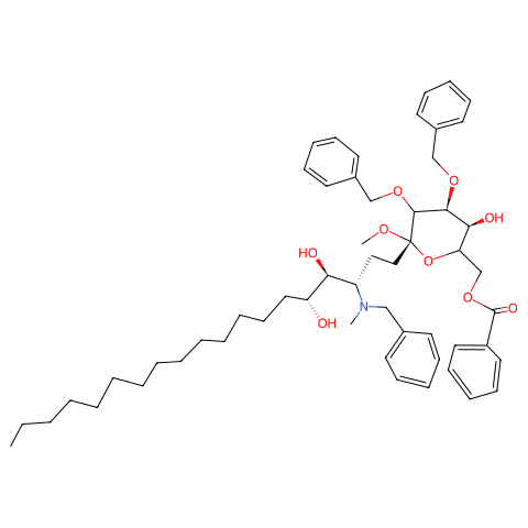 CCCCCCCCCCCCCC[C@@H](O)[C@@H](O)[C@H](CC[C@]1(OC)OC(COC(=O)c2ccccc2)[C@H](O)[C@H](OCc2ccccc2)C1OCc1ccccc1)N(C)Cc1ccccc1